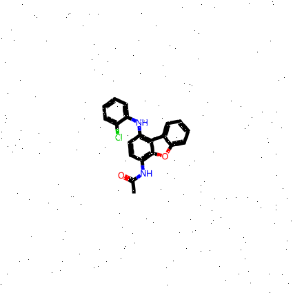 CC(=O)Nc1ccc(Nc2ccccc2Cl)c2c1oc1ccccc12